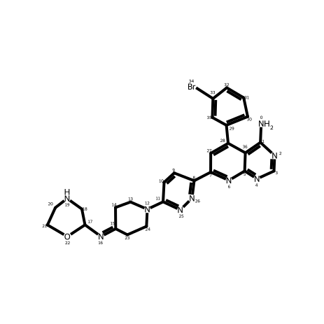 Nc1ncnc2nc(-c3ccc(N4CCC(=NC5CNCCO5)CC4)nn3)cc(-c3cccc(Br)c3)c12